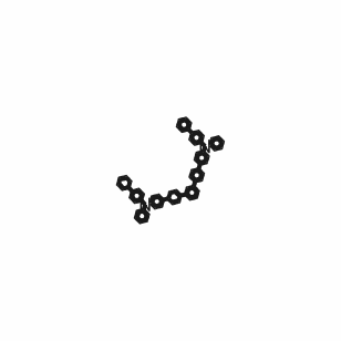 C1=CCC(c2ccc(N(c3ccccc3)c3ccc(C4C=CC(c5cccc(-c6ccc(-c7ccc(N(c8ccccc8)c8ccc(-c9ccccc9)cc8)cc7)cc6)c5)=CC4)cc3)cc2)C=C1